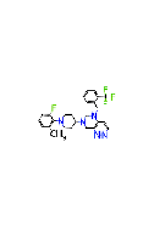 Cc1cccc(F)c1N1CCC(N2Cc3nnccc3N(Cc3ccccc3C(F)(F)F)C2)CC1